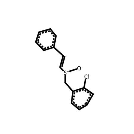 [O-][S+](C=Cc1ccccc1)Cc1ccccc1Cl